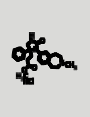 COC(=O)CCC1(c2ccccc2)CNC(=O)N1c1ccc2c(c1)CCN(C)CC2.Cl